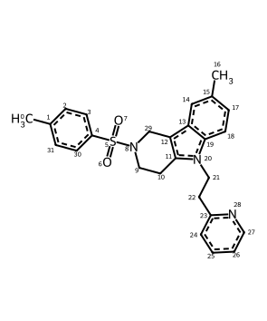 Cc1ccc(S(=O)(=O)N2CCc3c(c4cc(C)ccc4n3CCc3ccccn3)C2)cc1